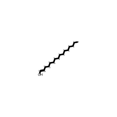 CCCCCCCCCCCCCC/C=C/O